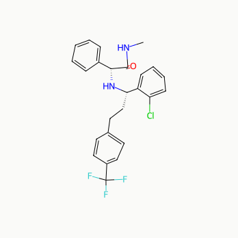 CNC(=O)[C@H](N[C@@H](CCc1ccc(C(F)(F)F)cc1)c1ccccc1Cl)c1ccccc1